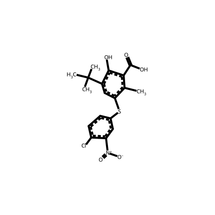 Cc1c(Sc2ccc(Cl)c([N+](=O)[O-])c2)cc(C(C)(C)C)c(O)c1C(=O)O